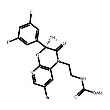 COC(=O)NCCN1C(=O)[C@](C)(c2cc(F)cc(F)c2)Oc2ncc(Br)cc21